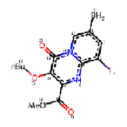 Bc1cc(I)c2nc(C(=O)OC)c(OCCCC)c(=O)n2c1